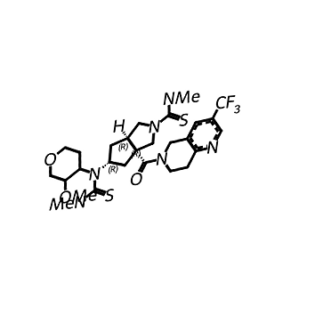 CNC(=S)N1C[C@@H]2C[C@@H](N(C(=S)NC)C3CCOCC3OC)C[C@]2(C(=O)N2CCc3ncc(C(F)(F)F)cc3C2)C1